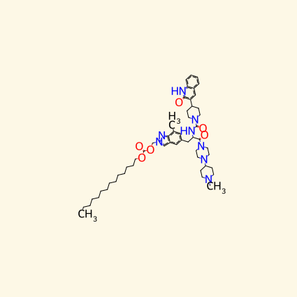 CCCCCCCCCCCCCCOC(=O)OCn1cc2cc(CC(NC(=O)N3CCC(c4cc5ccccc5[nH]c4=O)CC3)C(=O)N3CCN(C4CCN(C)CC4)CC3)cc(C)c2n1